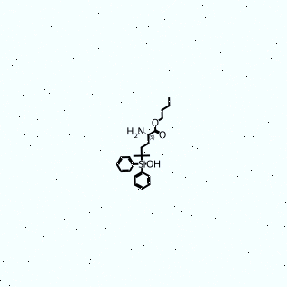 CCCCOC(=O)[C@@H](N)CCC(C)(C)[Si](O)(c1ccccc1)c1ccccc1